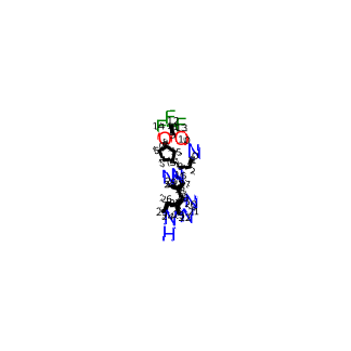 N#CCC([C@H]1CC[C@H](OC(=O)C(F)(F)F)C1)n1cc(-c2ncnc3[nH]ccc23)cn1